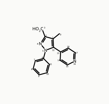 Cc1c(C(=O)O)nn(-c2ccccc2)c1-c1ccncc1